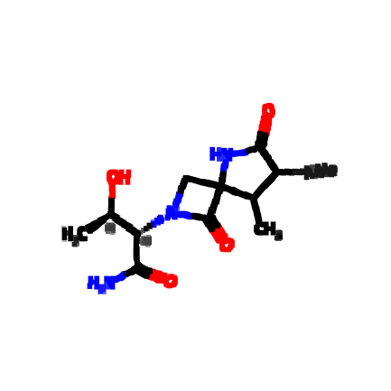 CNC1C(=O)NC2(CN([C@H](C(N)=O)[C@@H](C)O)C2=O)C1C